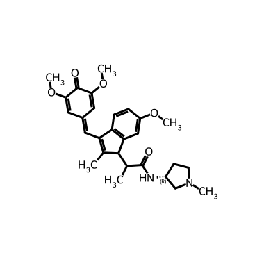 COC1=CC(=CC2=C(C)C(C(C)C(=O)N[C@@H]3CCN(C)C3)c3cc(OC)ccc32)C=C(OC)C1=O